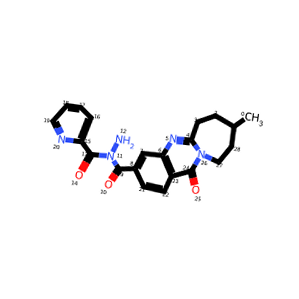 CC1CCc2nc3cc(C(=O)N(N)C(=O)c4ccccn4)ccc3c(=O)n2CC1